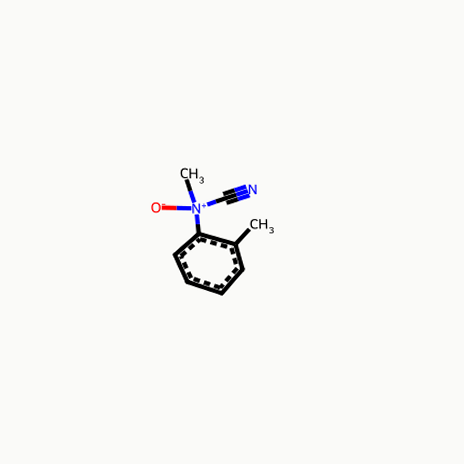 Cc1ccccc1[N+](C)([O-])C#N